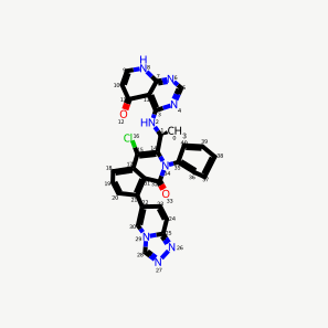 C[C@H](Nc1ncnc2[nH]ccc(=O)c12)c1c(Cl)c2cccc(-c3ccc4nncn4c3)c2c(=O)n1-c1ccccc1